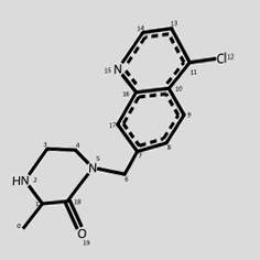 CC1NCCN(Cc2ccc3c(Cl)ccnc3c2)C1=O